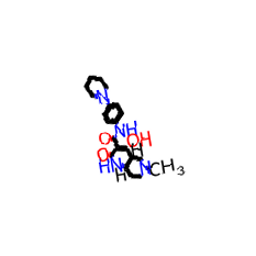 CN1CC[C@H]2NC(=O)C(C(=O)Nc3ccc(N4CCCCC4)cc3)=C(O)[C@H]2C1